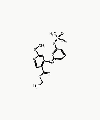 CCOC(=O)c1cnc(SC)nc1Nc1cccc(N=S(C)(C)=O)n1